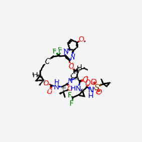 CC[C@@H]1[C@@H]2CN(C(=O)[C@H](C(C)(C)C)NC(=O)O[C@]3(C)C[C@H]3CCCCC(F)(F)c3nc4ccc(OC)cc4nc3O2)[C@@H]1C(=O)N[C@]1(C(=O)NS(=O)(=O)C2(C)CC2)CC1C(F)F